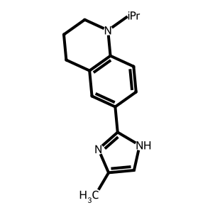 Cc1c[nH]c(-c2ccc3c(c2)CCCN3C(C)C)n1